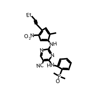 CCC#Cc1cc(C)c(Nc2ncc(C#N)c(Nc3ccccc3P(C)(C)=O)n2)cc1[N+](=O)[O-]